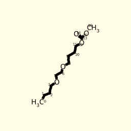 CCCCOCCOCCCCOC(=O)OC